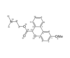 COc1ccc2c(c1)-c1ccccc1C(C(=O)OCCN(C)C)O2